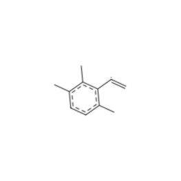 C=[C]c1c(C)ccc(C)c1C